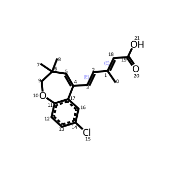 CC(/C=C/C1=CC(C)(C)COc2ccc(Cl)cc21)=C\C(=O)O